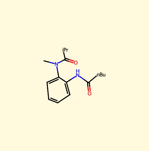 CCCCC(=O)Nc1ccccc1N(C)C(=O)C(C)C